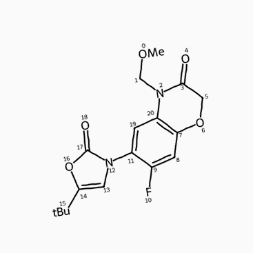 COCN1C(=O)COc2cc(F)c(-n3cc(C(C)(C)C)oc3=O)cc21